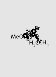 COc1ccc(S(=O)(=O)n2cc(OCCN(C)C)c3cc(Br)cc(Br)c32)c(Br)c1